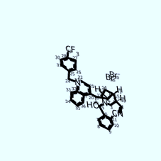 C=C[C@H]1C[N+]2(Cc3ccccc3C#N)CC[C@H]1C[C@H]2[C@H](O)c1cc[n+](Cc2ccc(C(F)(F)F)cc2)c2ccccc12.[Br-].[Br-]